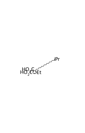 CCc1ccc(C(=O)O)c(C(=O)O)c1CCCCCCCCCCCCCCC(C)C